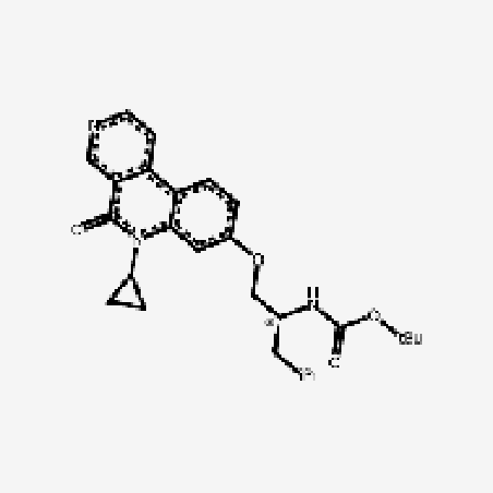 CC(C)C[C@@H](COc1ccc2c3ccncc3c(=O)n(C3CC3)c2c1)NC(=O)OC(C)(C)C